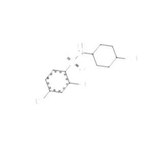 CCc1cc(Br)ccc1S(=O)(=O)NC1CCC(O)CC1